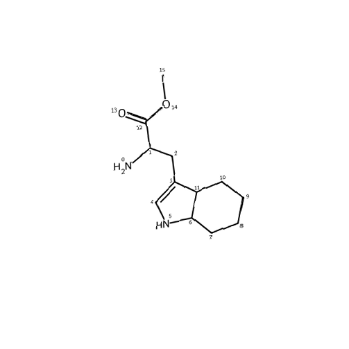 NC(CC1=CNC2CCCCC12)C(=O)OI